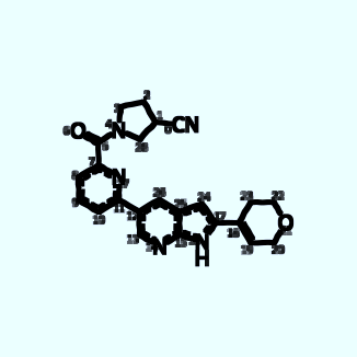 N#CC1CCN(C(=O)c2cccc(-c3cnc4[nH]c(C5=CCOCC5)cc4c3)n2)C1